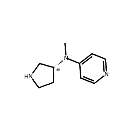 CN(c1ccncc1)[C@@H]1CCNC1